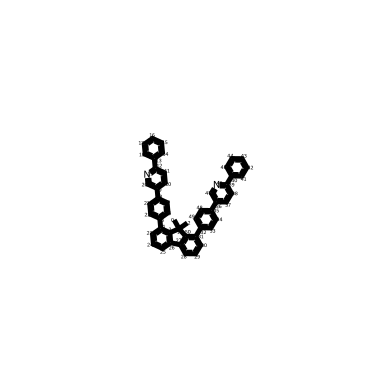 CC1(C)c2c(-c3ccc(-c4ccc(-c5ccccc5)nc4)cc3)cccc2-c2cccc(-c3ccc(-c4ccc(-c5ccccc5)nc4)cc3)c21